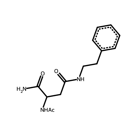 CC(=O)NC(CC(=O)NCCc1ccccc1)C(N)=O